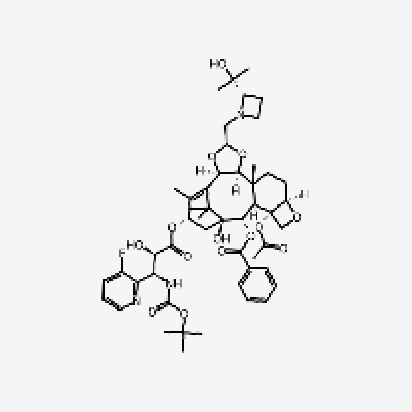 CC(=O)O[C@@]12CO[C@@H]1CC[C@@]1(C)[C@@H]3O[C@H](CN4CC[C@H]4C(C)(C)O)O[C@@H]3C3=C(C)[C@@H](OC(=O)[C@H](O)[C@@H](NC(=O)OC(C)(C)C)c4ncccc4F)C[C@@](O)([C@@H](OC(=O)c4ccccc4)[C@@H]12)C3(C)C